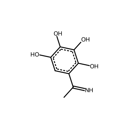 CC(=N)c1cc(O)c(O)c(O)c1O